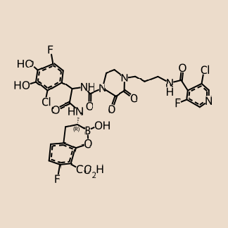 O=C(NCCCN1CCN(C(=O)NC(C(=O)N[C@H]2Cc3ccc(F)c(C(=O)O)c3OB2O)c2cc(F)c(O)c(O)c2Cl)C(=O)C1=O)c1c(F)cncc1Cl